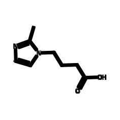 Cc1n[c]cn1CCCC(=O)O